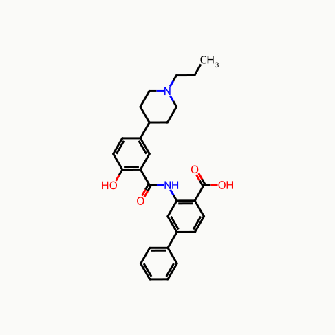 CCCN1CCC(c2ccc(O)c(C(=O)Nc3cc(-c4ccccc4)ccc3C(=O)O)c2)CC1